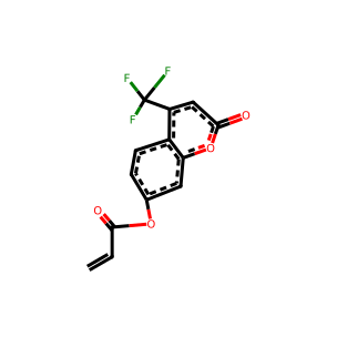 C=CC(=O)Oc1ccc2c(C(F)(F)F)cc(=O)oc2c1